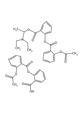 CC(=O)Oc1ccccc1C(=O)Oc1ccccc1C(=O)O.CCN(CC)C(C)OC(=O)c1ccccc1OC(=O)c1ccccc1OC(C)=O